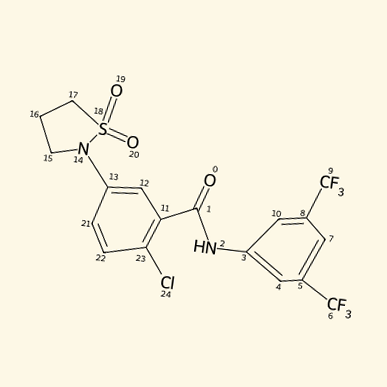 O=C(Nc1cc(C(F)(F)F)cc(C(F)(F)F)c1)c1cc(N2CCCS2(=O)=O)ccc1Cl